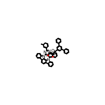 CC1C=C(c2nc(-c3ccccc3)nc(-n3c4ccccc4c4ccc5c6ccccc6n(-c6ccc7oc(-c8cc(-c9ccccc9)cc(-c9ccccc9)c8)nc7c6)c5c43)n2)C=CC1